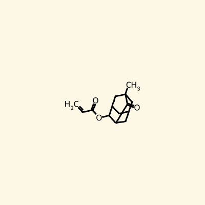 C=CC(=O)OC1C2CC3CC1C(=O)C(C)(C3)C2